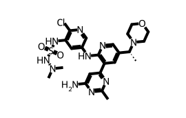 Cc1nc(N)cc(-c2cc([C@@H](C)N3CCOCC3)cnc2Nc2cnc(Cl)c(NS(=O)(=O)NN(C)C)c2)n1